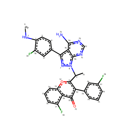 CC(C)Nc1ccc(-c2nn(C(C)c3oc4cccc(F)c4c(=O)c3-c3cccc(F)c3)c3ncnc(N)c23)cc1F